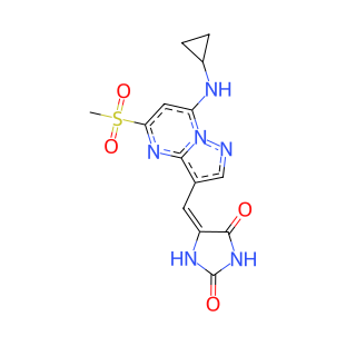 CS(=O)(=O)c1cc(NC2CC2)n2ncc(/C=C3/NC(=O)NC3=O)c2n1